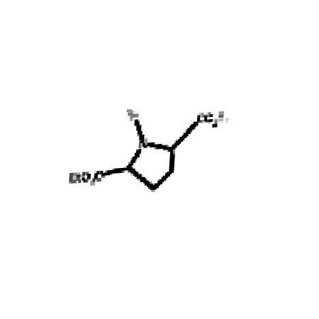 [2H]N1C(C(=O)OCC)CCC1C(=O)OCC